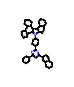 c1ccc(-c2cc(-c3ccc4ccccc4c3)nc(-c3ccc(-n4c5ccc6ccccc6c5c5c6ccccc6c6ccccc6c54)cc3)n2)cc1